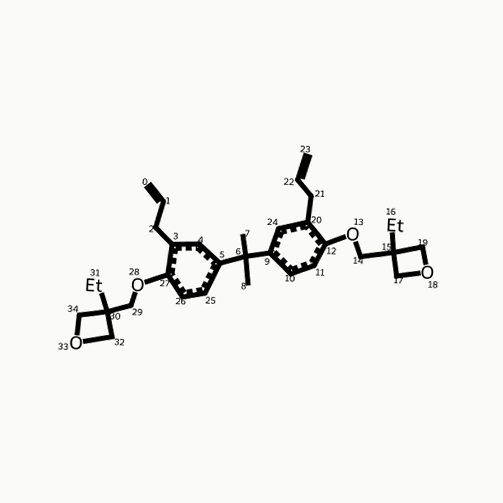 C=CCc1cc(C(C)(C)c2ccc(OCC3(CC)COC3)c(CC=C)c2)ccc1OCC1(CC)COC1